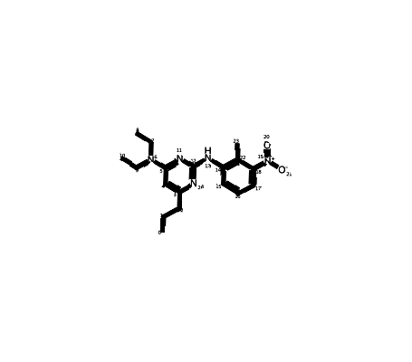 CCCc1cc(N(CC)CC)nc(Nc2cccc([N+](=O)[O-])c2C)n1